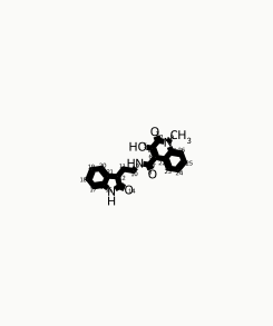 Cn1c(=O)c(O)c(C(=O)NCCC2C(=O)Nc3ccccc32)c2ccccc21